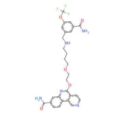 NC(=O)c1cc(CNCCCCOCCOc2nc3cc(C(N)=O)ccc3c3cnccc23)cc(OC(F)(F)F)c1